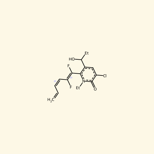 C=C/C=C\C(F)=C(/F)c1c(C(O)CC)cc(Cl)c(=O)n1CC